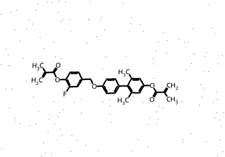 C=C(C)C(=O)Oc1cc(C)c(-c2ccc(OCc3ccc(OC(=O)C(=C)C)c(F)c3)cc2)c(C)c1